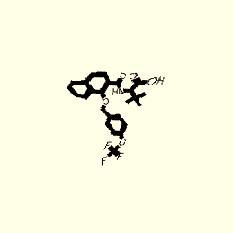 CC(C)(C)C(NC(=O)c1ccc2ccccc2c1OCc1ccc(OC(F)(F)F)cc1)C(=O)O